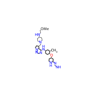 COCCNC1CCN(Cc2ccn3ncnc(Nc4ccc(Oc5cc[nH]/c(=N\C=N)c5)c(C)c4)c23)CC1